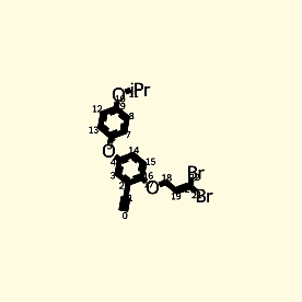 C#Cc1cc(Oc2ccc(OC(C)C)cc2)ccc1OCC=C(Br)Br